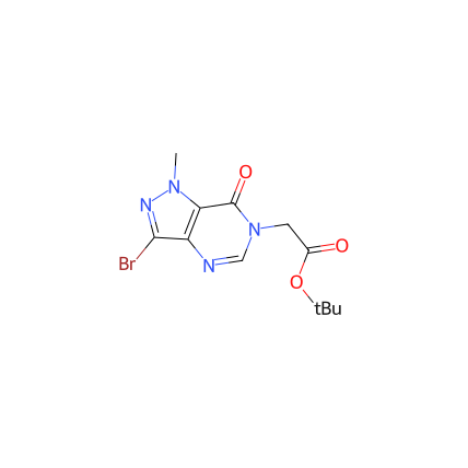 Cn1nc(Br)c2ncn(CC(=O)OC(C)(C)C)c(=O)c21